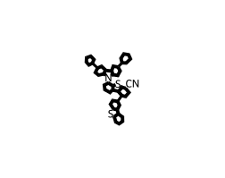 N#Cc1ccc(-c2ccc3sc4ccccc4c3c2)c2c1sc1c(-n3c4ccc(-c5ccccc5)cc4c4cc(-c5ccccc5)ccc43)cccc12